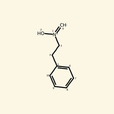 [CH]=[N+](O)CCc1ccccc1